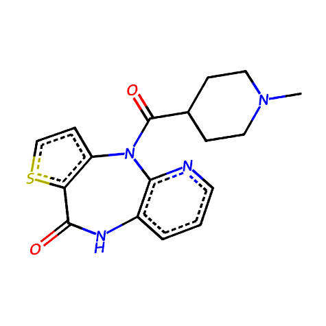 CN1CCC(C(=O)N2c3ccsc3C(=O)Nc3cccnc32)CC1